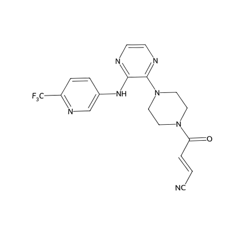 N#C/C=C/C(=O)N1CCN(c2nccnc2Nc2ccc(C(F)(F)F)nc2)CC1